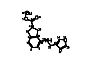 CC(C)(C)OC(=O)N1Cc2cccc(NCc3cocn3)c2C1